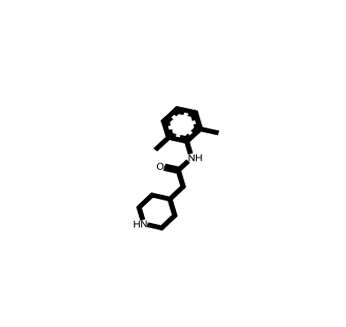 Cc1cccc(C)c1NC(=O)CC1CCNCC1